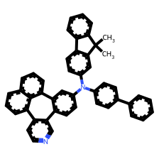 CC1(C)c2ccccc2-c2ccc(N(c3ccc(-c4ccccc4)cc3)c3ccc4c(c3)-c3cccc5cccc(c35)-c3ccncc3-4)cc21